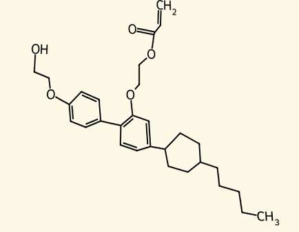 C=CC(=O)OCCOc1cc(C2CCC(CCCCC)CC2)ccc1-c1ccc(OCCO)cc1